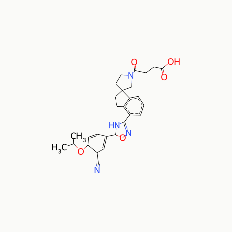 CC(C)OC1C=CC(C2NC(c3cccc4c3CCC43CCN(C(=O)CCC(=O)O)C3)=NO2)=CC1C#N